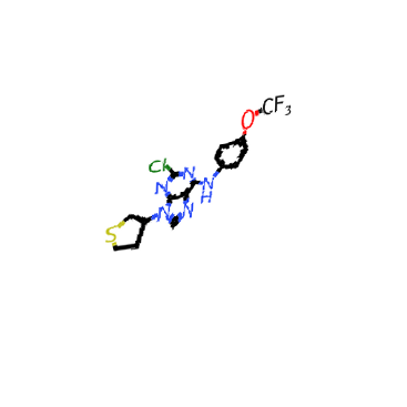 FC(F)(F)Oc1ccc(Nc2nc(Cl)nc3c2ncn3C2CCSC2)cc1